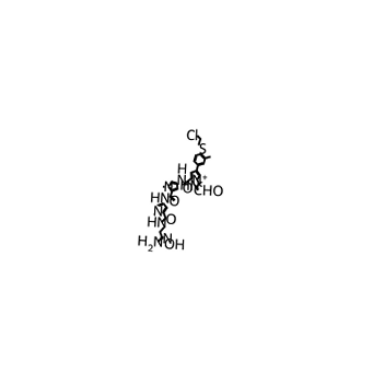 Cc1cc(C2=C[N+](C)(NC=O)C(C(=O)Nc3cc(C(=O)Nc4cc(C(=O)NCCC(N)=NO)n(C)c4)n(C)c3)=C2)ccc1SCCCl